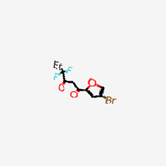 CCC(F)(F)C(=O)CC(=O)c1cc(Br)co1